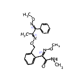 CNC(=O)/C(=N\OC)c1ccccc1CO/N=C(C)/C(=N/OC)c1ccccc1